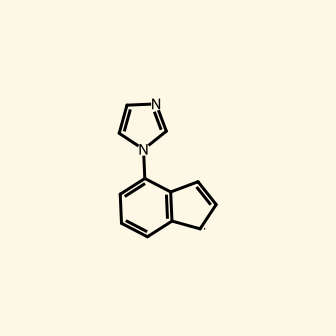 [CH]1C=Cc2c1cccc2-n1ccnc1